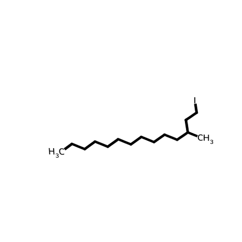 CCCCCCCCCCCC(C)CCI